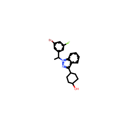 CC(c1cc(F)cc(Br)c1)n1nc(C2CCC(O)CC2)c2c[c]ccc21